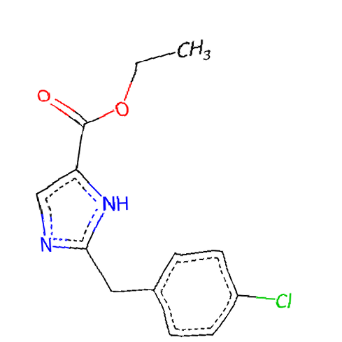 CCOC(=O)c1cnc(Cc2ccc(Cl)cc2)[nH]1